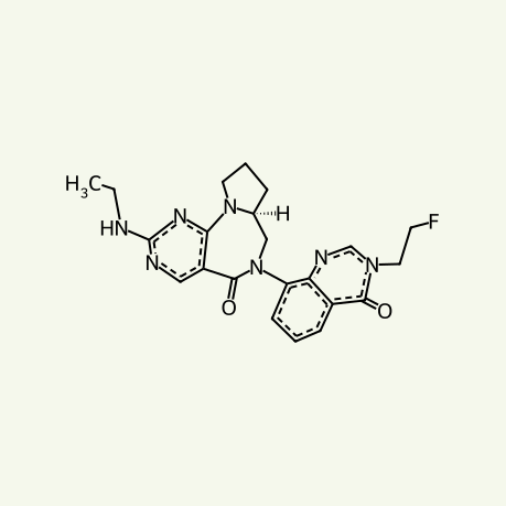 CCNc1ncc2c(n1)N1CCC[C@H]1CN(c1cccc3c(=O)n(CCF)cnc13)C2=O